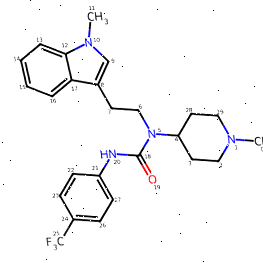 CN1CCC(N(CCc2cn(C)c3ccccc23)C(=O)Nc2ccc(C(F)(F)F)cc2)CC1